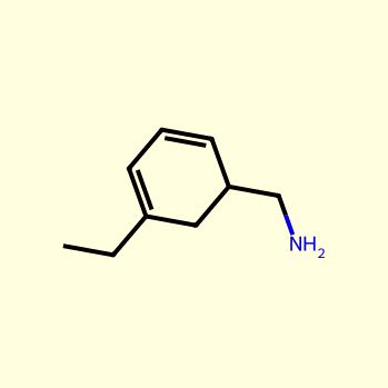 CCC1=CC=CC(CN)C1